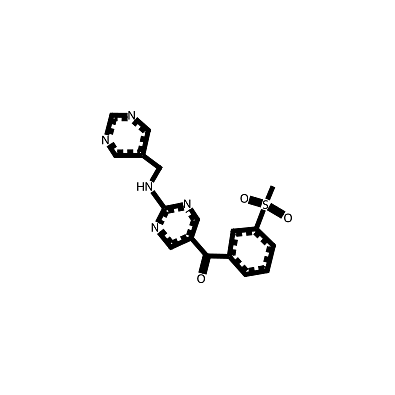 CS(=O)(=O)c1cccc(C(=O)c2cnc(NCc3cncnc3)nc2)c1